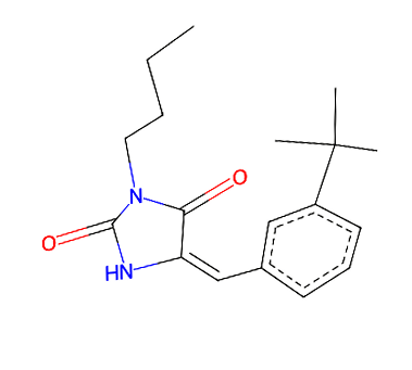 CCCCN1C(=O)NC(=Cc2cccc(C(C)(C)C)c2)C1=O